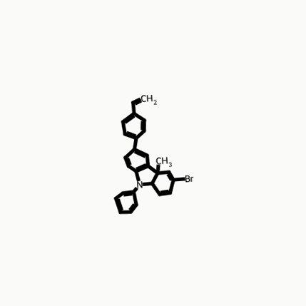 C=Cc1ccc(-c2ccc3c(c2)C2(C)C=C(Br)C=CC2N3c2ccccc2)cc1